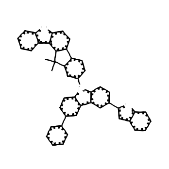 CC1(C)c2cc(-n3c4ccc(-c5ccccc5)cc4c4cc(-c5cc6ccccc6o5)ccc43)ccc2-c2ccc3oc4ccccc4c3c21